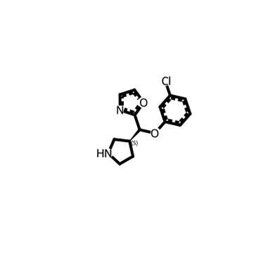 Clc1cccc(OC(c2ncco2)[C@H]2CCNC2)c1